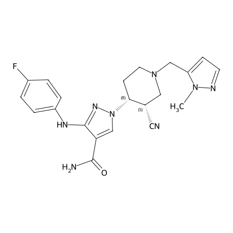 Cn1nccc1CN1CC[C@@H](n2cc(C(N)=O)c(Nc3ccc(F)cc3)n2)[C@@H](C#N)C1